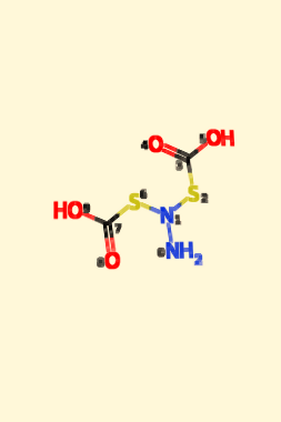 NN(SC(=O)O)SC(=O)O